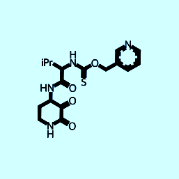 CC(C)C(NC(=S)OCc1cccnc1)C(=O)NC1CCNC(=O)C1=O